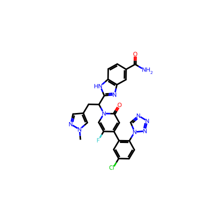 Cn1cc(CC(c2nc3cc(C(N)=O)ccc3[nH]2)n2cc(F)c(-c3cc(Cl)ccc3-n3cnnn3)cc2=O)cn1